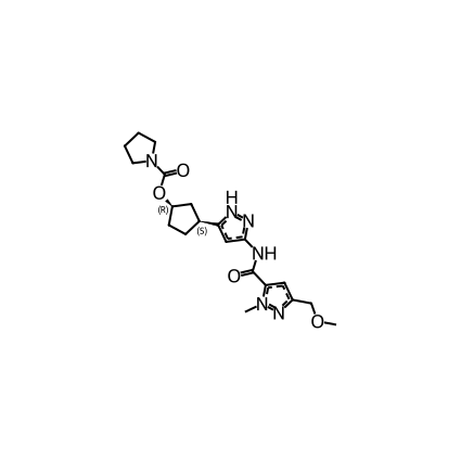 COCc1cc(C(=O)Nc2cc([C@H]3CC[C@@H](OC(=O)N4CCCC4)C3)[nH]n2)n(C)n1